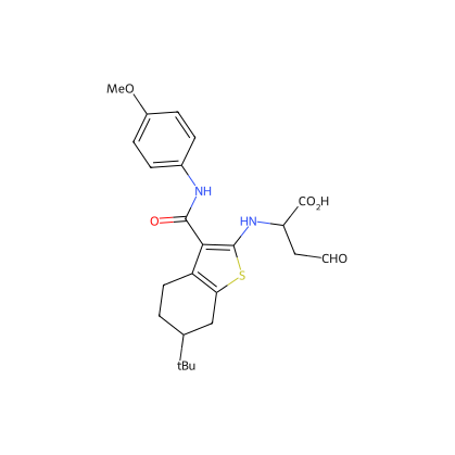 COc1ccc(NC(=O)c2c(NC(CC=O)C(=O)O)sc3c2CCC(C(C)(C)C)C3)cc1